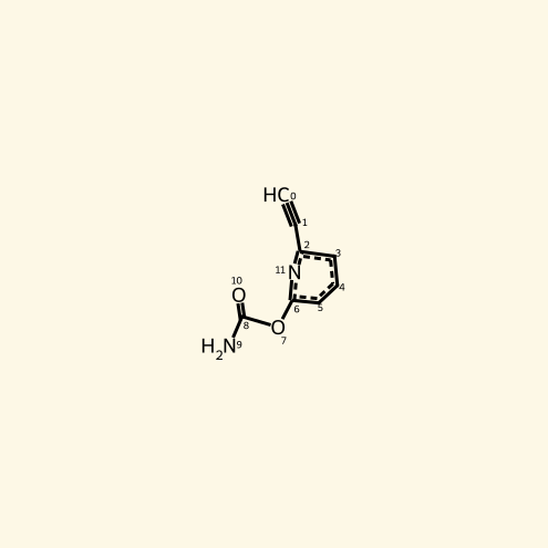 C#Cc1cccc(OC(N)=O)n1